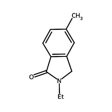 CCN1Cc2cc(C)ccc2C1=O